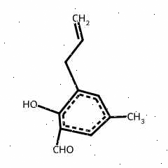 C=CCc1cc(C)cc(C=O)c1O